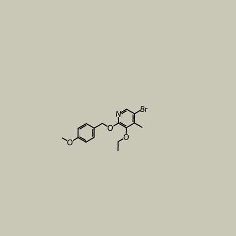 CCOc1c(OCc2ccc(OC)cc2)ncc(Br)c1C